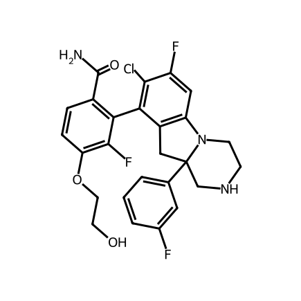 NC(=O)c1ccc(OCCO)c(F)c1-c1c(Cl)c(F)cc2c1CC1(c3cccc(F)c3)CNCCN21